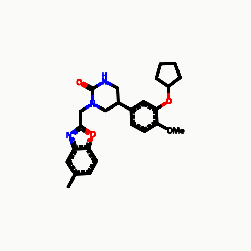 COc1ccc(C2CNC(=O)N(Cc3nc4cc(C)ccc4o3)C2)cc1OC1CCCC1